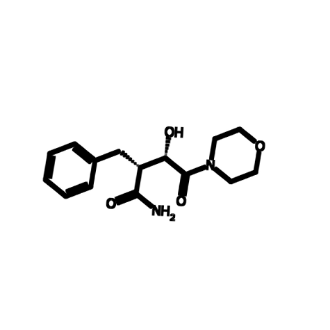 NC(=O)[C@H](Cc1ccccc1)[C@H](O)C(=O)N1CCOCC1